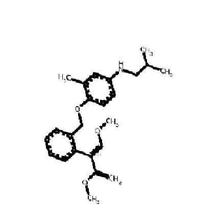 C=C(OC)/C(=C/OC)c1ccccc1COc1ccc(NCC(C)C)cc1C